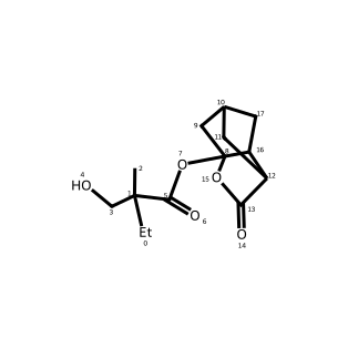 CCC(C)(CO)C(=O)OC12CC3CC(C(=O)O1)C2C3